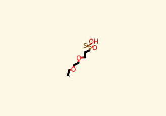 [CH]COCCOCCCS(=O)(O)=S